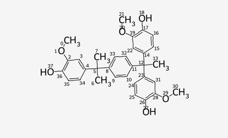 COc1cc(C(C)(C)c2ccc(C(C)(c3ccc(O)c(OC)c3)c3ccc(O)c(OC)c3)cc2)ccc1O